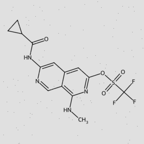 CNc1nc(OS(=O)(=O)C(F)(F)F)cc2cc(NC(=O)C3CC3)ncc12